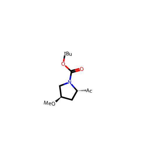 CO[C@@H]1C[C@@H](C(C)=O)N(C(=O)OC(C)(C)C)C1